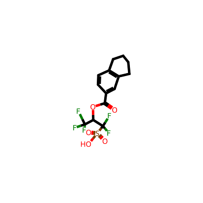 O=C(OC(C(F)(F)F)C(F)(F)S(=O)(=O)O)c1ccc2c(c1)CCCC2